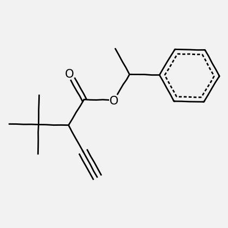 C#CC(C(=O)OC(C)c1ccccc1)C(C)(C)C